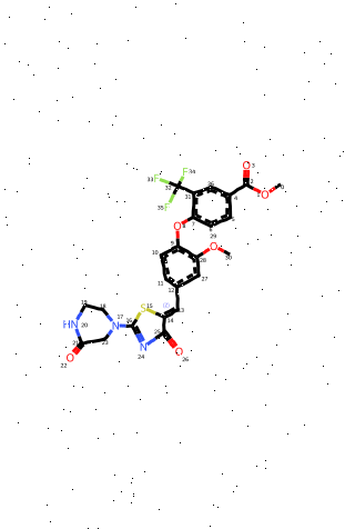 COC(=O)c1ccc(Oc2ccc(/C=C3\SC(N4CCNC(=O)C4)=NC3=O)cc2OC)c(C(F)(F)F)c1